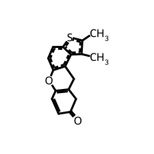 Cc1sc2ccc3c(c2c1C)CC1=C(C=CC(=O)C1)O3